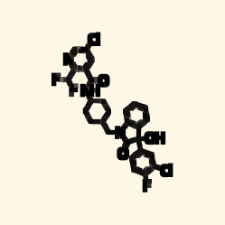 O=C(NC1CCC(CN2C(=O)C(O)(c3ccc(F)c(Cl)c3)c3ccccc32)CC1)c1cc(Cl)cnc1C(F)F